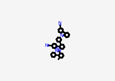 Cc1cccc(C#N)c1-c1ccccc1Nc1cc(C#N)ccc1-c1ccccc1-c1cccc(-n2c3ccccc3c3cc(C#N)ccc32)c1